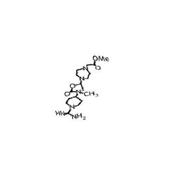 COC(=O)CN1CCN(C2C[N+](C)(C3CCN(C(=N)N)CC3)C(=O)O2)CC1